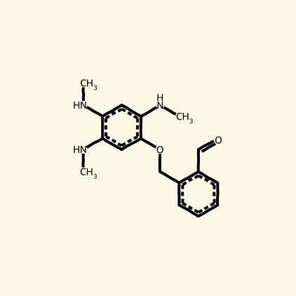 CNc1cc(NC)c(OCc2ccccc2C=O)cc1NC